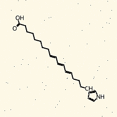 CCCCC=CC=CC=CCCCCCCCC(=O)O.c1cc[nH]c1